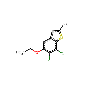 CCCCc1cc2cc(OCC(=O)O)c(Cl)c(Cl)c2s1